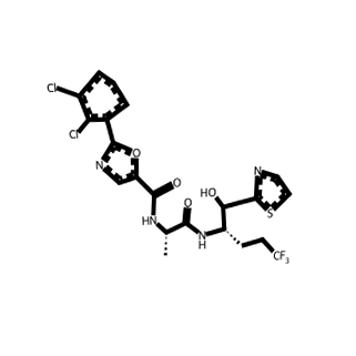 C[C@H](NC(=O)c1cnc(-c2cccc(Cl)c2Cl)o1)C(=O)N[C@@H](CCC(F)(F)F)C(O)c1nccs1